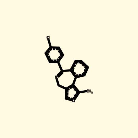 Cc1occ2c1-c1ccccc1C(c1ccc(Cl)cc1)=NC2